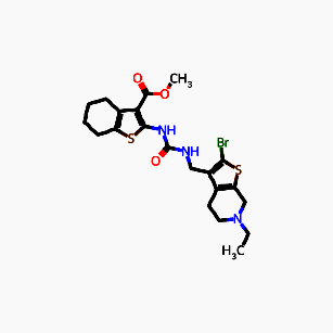 CCN1CCc2c(sc(Br)c2CNC(=O)Nc2sc3c(c2C(=O)OC)CCCC3)C1